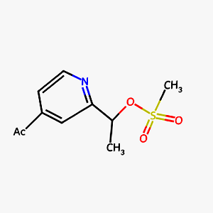 CC(=O)c1ccnc(C(C)OS(C)(=O)=O)c1